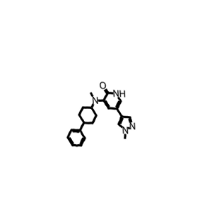 CN(c1cc(-c2cnn(C)c2)c[nH]c1=O)C1CCC(c2ccccc2)CC1